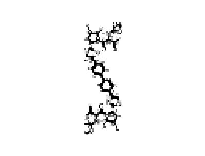 COC(=O)N[C@H](C(=O)N1[C@H](C)[C@H](C)C[C@H]1c1nc(-c2ccc(-c3ccc(-c4c[nH]c([C@@H]5C[C@@H](C)[C@@H](C)N5C(=O)[C@@H](NC5OCO5)C(C)C)n4)cc3)cc2)c[nH]1)C(C)C